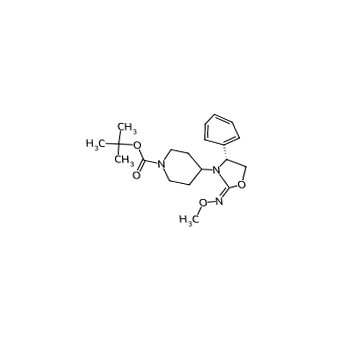 CO/N=C1/OC[C@@H](c2ccccc2)N1C1CCN(C(=O)OC(C)(C)C)CC1